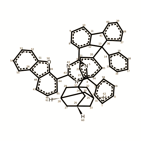 c1ccc(-c2nc(-c3cccc4c3C(c3ccccc3)(c3ccc(C56C[C@H]7C[C@@H](C5)C[C@@H](C6)C7)cc3)c3ccccc3-4)nc(-c3cccc4c3oc3ccccc34)n2)cc1